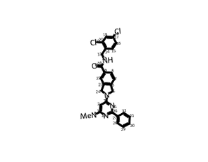 CNc1cc(N2Cc3ccc(C(=O)NCc4ccc(Cl)cc4Cl)cc3C2)nc(-c2ccccc2)n1